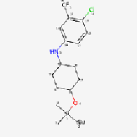 CC(C)(C)[Si](C)(C)OC1CCC(Nc2ccc(Cl)c(C(F)(F)F)c2)CC1